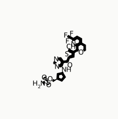 Cc1sc(C(=O)c2cncnc2N[C@H]2CC[C@@H](COS(N)(=O)=O)C2)cc1C1OCCc2ccc(C(F)(F)F)nc21